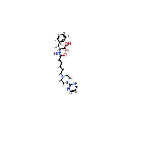 O=C(CCCCCN1CCN(c2ncccn2)CC1)N[C@@H](Cc1ccccc1)C(=O)O